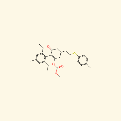 CCc1cc(C)cc(CC)c1C1=C(OC(=O)OC)CC(CCSc2ccc(C)cc2)CC1=O